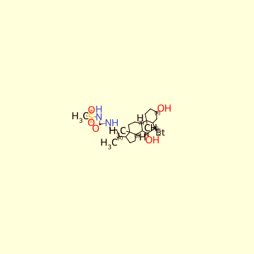 CC[C@@H]1C2C[C@H](O)CCC2(C)[C@H]2CCC3(C)C([C@H](C)CCNC(=O)NS(C)(=O)=O)CC[C@H]3C2[C@@H]1O